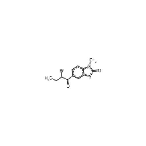 CCC(Br)C(=O)c1ccc2c(c1)sc(=O)n2C